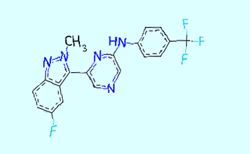 Cn1nc2ccc(F)cc2c1-c1cncc(Nc2ccc(C(F)(F)F)cc2)n1